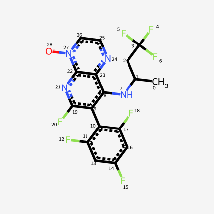 CC(CC(F)(F)F)Nc1c(-c2c(F)cc(F)cc2F)c(F)nc2c1ncc[n+]2[O-]